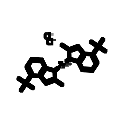 CC1=Cc2c(cccc2C(C)(C)C)[CH]1[Zr+2][CH]1C(C)=Cc2c1cccc2C(C)(C)C.[Cl-].[Cl-]